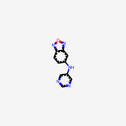 c1ncc(Nc2ccc3nonc3c2)cn1